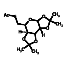 CC(=O)SC[C@H]1OC2OC(C)(C)O[C@@H]2C2OC(C)(C)O[C@H]21